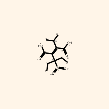 CCC(CC)(C(C(=O)O)=C(C(=O)O)C(C)C)P(=O)=O